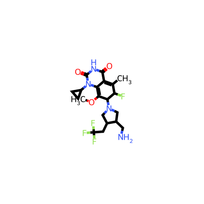 COC1=c2c(c(=O)[nH]c(=O)n2C2CC2)=C(C)C(F)C1N1CC(CN)C(CC(F)(F)F)C1